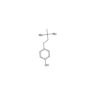 CC(C)(C)C(C)(CCc1ccc(O)cc1)C(C)(C)C